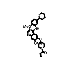 C=CC(=O)N1CCC(Oc2cc3c(Nc4cc(C5CCCCO5)ccc4OC)ncnc3cc2OC)CC1